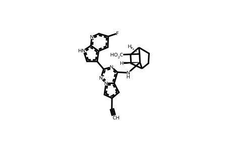 C#Cc1cc2c(N[C@H]3C4CCC(CC4)[C@@H]3C(=O)O)nc(-c3c[nH]c4ncc(F)cc34)nn2c1